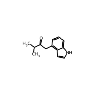 CC(C)C(=O)Cc1cccc2[nH]ccc12